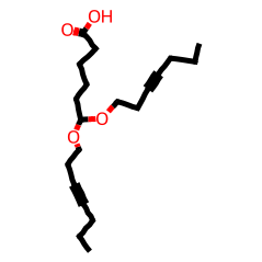 CCCC#CCCOC(CCCCC(=O)O)OCCC#CCCC